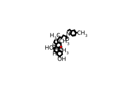 Cc1ccc2c(c1)CCN2C(=O)CC[C@@H](C)[C@H]1CC[C@H]2[C@@H]3[C@H](O)C[C@@H]4C[C@H](O)CC[C@]4(C)[C@H]3CC[C@]12C